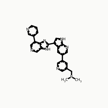 CN(C)Cc1cncc(-c2cnc3[nH]cc(-c4nc5c(-c6cccnc6)cncc5[nH]4)c3c2)c1